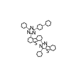 c1ccc(-c2ccc(-c3nc(-c4ccccc4)nc(-c4cccc5sc6c(-c7nc(-c8ccccc8)c8sc9ccccc9c8n7)cccc6c45)n3)cc2)cc1